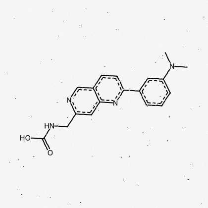 CN(C)c1cccc(-c2ccc3cnc(CNC(=O)O)cc3n2)c1